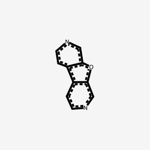 c1cc2c(cn1)oc1cnccc12